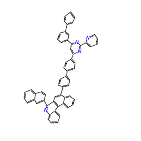 c1ccc(-c2cccc(-c3cc(-c4ccc(-c5ccc(-c6cc7c(-c8ccc9ccccc9c8)nc8ccccc8c7c7ccccc67)cc5)cc4)nc(-c4ccccn4)n3)c2)cc1